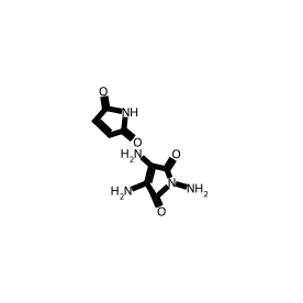 NC1=C(N)C(=O)N(N)C1=O.O=C1C=CC(=O)N1